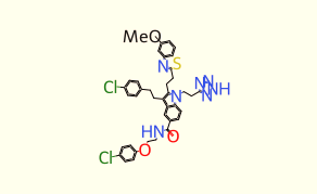 COc1ccc2sc(CCc3c(CCc4ccc(Cl)cc4)c4cc(C(=O)NCCOc5ccc(Cl)cc5)ccc4n3CCc3nn[nH]n3)nc2c1